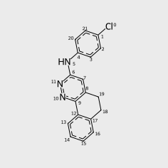 Clc1ccc(Nc2cc3c(nn2)-c2ccccc2CC3)cc1